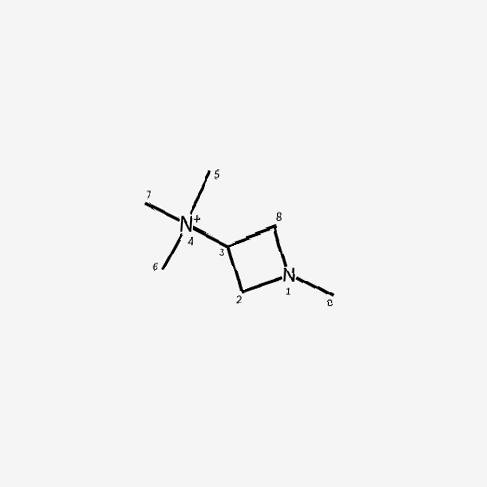 CN1CC([N+](C)(C)C)C1